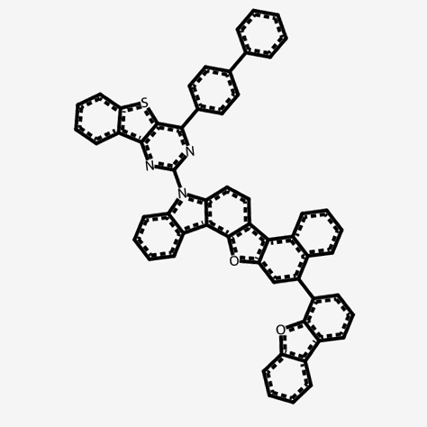 c1ccc(-c2ccc(-c3nc(-n4c5ccccc5c5c6oc7cc(-c8cccc9c8oc8ccccc89)c8ccccc8c7c6ccc54)nc4c3sc3ccccc34)cc2)cc1